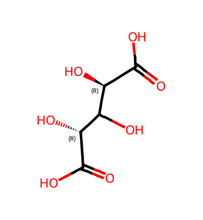 O=C(O)[C@H](O)C(O)[C@@H](O)C(=O)O